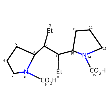 CCC(C(CC)C1CCCN1C(=O)O)C1CCCN1C(=O)O